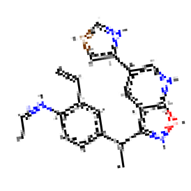 C=Cc1cc(C(C)c2noc3ncc(-c4cscn4)cc23)ccc1/N=C\C